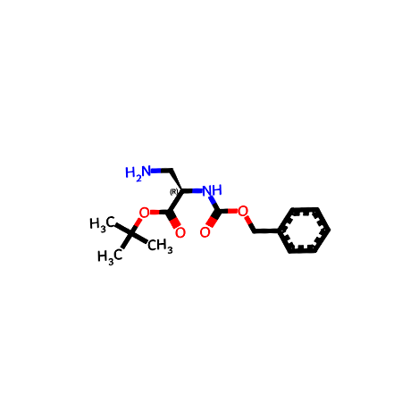 CC(C)(C)OC(=O)[C@@H](CN)NC(=O)OCc1ccccc1